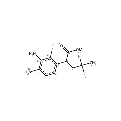 COC(=O)C(CC(C)(F)F)c1ccc(N)c(N)c1F